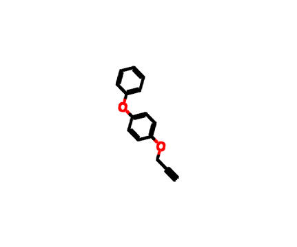 C#CCOc1ccc(Oc2ccccc2)cc1